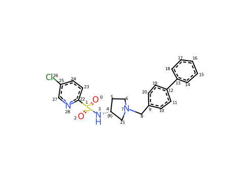 O=S(=O)(N[C@@H]1CCN(Cc2ccc(-c3ccccc3)cc2)C1)c1ccc(Cl)cn1